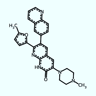 Cc1ccc(-c2nc3[nH]c(=O)c(N4CCN(C)CC4)cc3cc2-c2ccc3ncccc3c2)o1